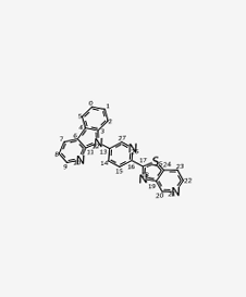 c1ccc2c(c1)c1cccnc1n2-c1ccc(-c2nc3cnccc3s2)nc1